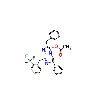 CC(=O)Oc1c(Cc2ccccc2)nc2c(Cc3ccccc3C(F)(F)F)nc(-c3ccccc3)cn12